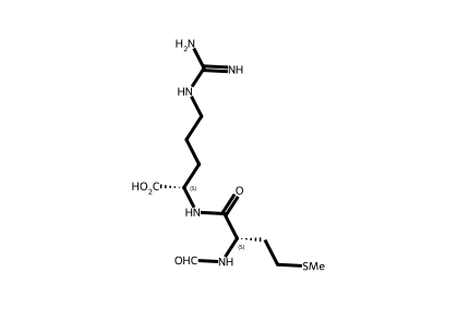 CSCC[C@H](NC=O)C(=O)N[C@@H](CCCNC(=N)N)C(=O)O